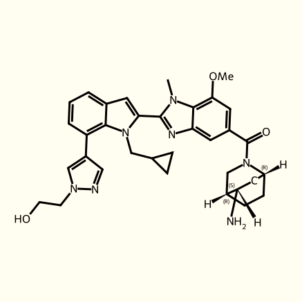 COc1cc(C(=O)N2C[C@H]3CC[C@@H]2C[C@@H]3N)cc2nc(-c3cc4cccc(-c5cnn(CCO)c5)c4n3CC3CC3)n(C)c12